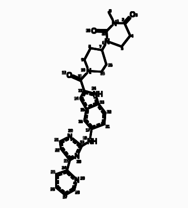 CN1C(=O)CCN(C2CCN(C(=O)c3cc4cc(Nc5nccc(-c6ccccn6)n5)ccc4[nH]3)CC2)C1=O